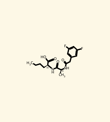 CCCC[C@H](NC(=O)[C@H](C)NC(=O)Cc1cc(F)cc(F)c1)C(=O)O